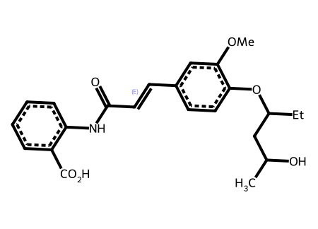 CCC(CC(C)O)Oc1ccc(/C=C/C(=O)Nc2ccccc2C(=O)O)cc1OC